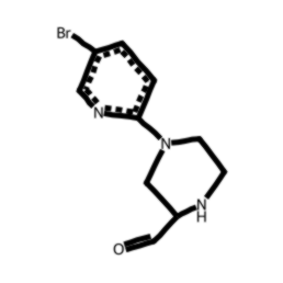 O=CC1CN(c2ccc(Br)cn2)CCN1